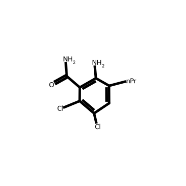 CCCc1cc(Cl)c(Cl)c(C(N)=O)c1N